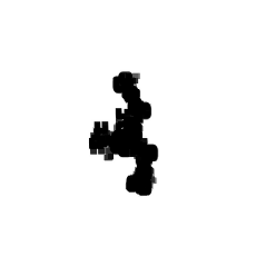 CC(=O)O[C@@H](CNC(=O)OCc1ccc([N+](=O)[O-])cc1)CSC[C@@]1(O[Si](C)(C)C(C)(C)C)CCN(C(=O)OCc2ccc([N+](=O)[O-])cc2)C1